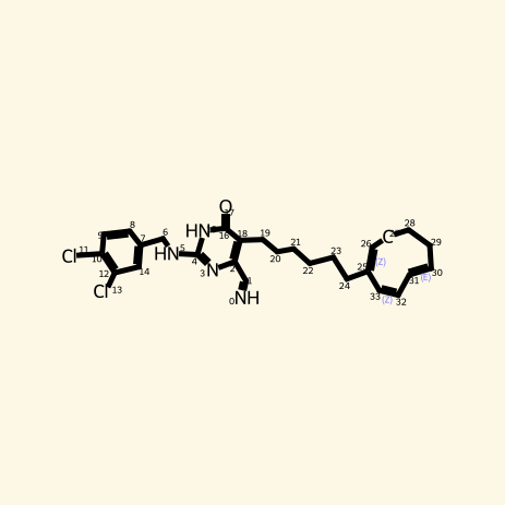 N=Cc1nc(NCc2ccc(Cl)c(Cl)c2)[nH]c(=O)c1CCCCCCC1=C/CCC/C=C/C=C\1